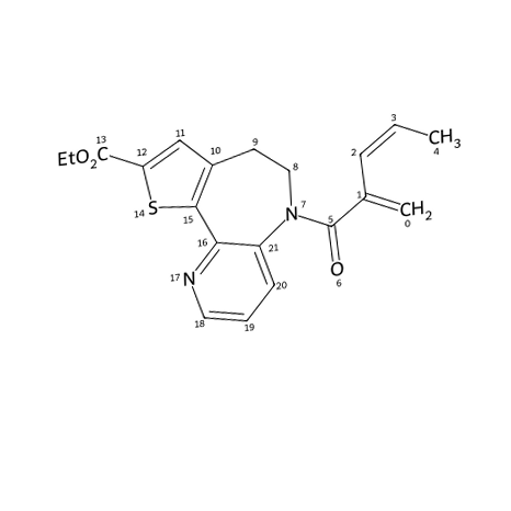 C=C(/C=C\C)C(=O)N1CCc2cc(C(=O)OCC)sc2-c2ncccc21